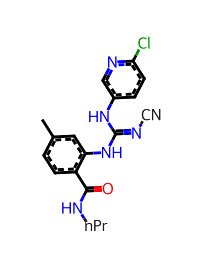 CCCNC(=O)c1ccc(C)cc1NC(=NC#N)Nc1ccc(Cl)nc1